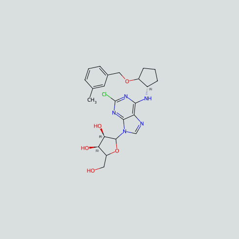 Cc1cccc(COC2CCC[C@@H]2Nc2nc(Cl)nc3c2ncn3C2OC(CO)[C@@H](O)[C@H]2O)c1